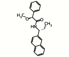 CC[C@@H](NC(=O)[C@@H](OC)c1ccccc1)c1ccc2ccccc2c1